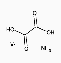 N.O=C(O)C(=O)O.[V]